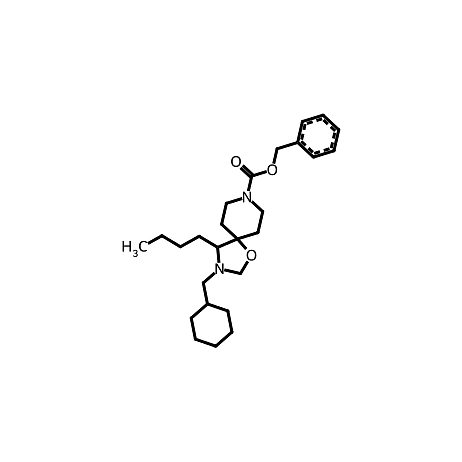 CCCCC1N(CC2CCCCC2)COC12CCN(C(=O)OCc1ccccc1)CC2